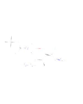 CNNC[C@H](C)/C(OC1CN(C(=O)OC(C)(C)C)C1)=C(/F)C=N